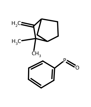 C=C1C2CCC(C2)C1(C)C.O=Pc1ccccc1